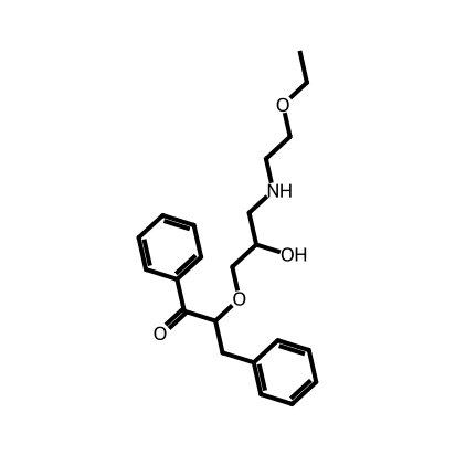 CCOCCNCC(O)COC(Cc1ccccc1)C(=O)c1ccccc1